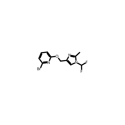 Cc1nc(COc2cccc(Br)n2)cn1C(F)F